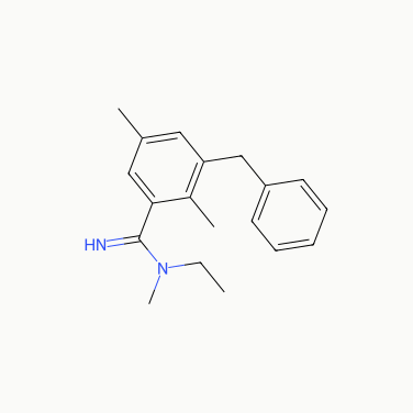 CCN(C)C(=N)c1cc(C)cc(Cc2ccccc2)c1C